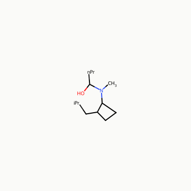 CCCC(O)N(C)C1CCC1CC(C)C